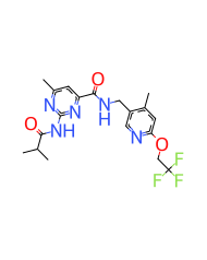 Cc1cc(C(=O)NCc2cnc(OCC(F)(F)F)cc2C)nc(NC(=O)C(C)C)n1